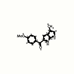 COc1ccc(C(=O)c2cc3c(C)csc3[nH]2)cc1